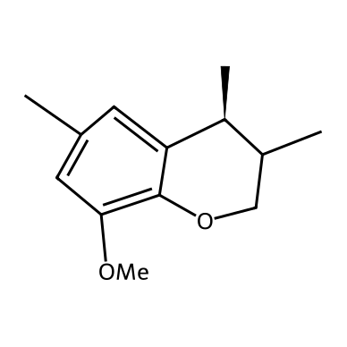 COc1cc(C)cc2c1OCC(C)[C@@H]2C